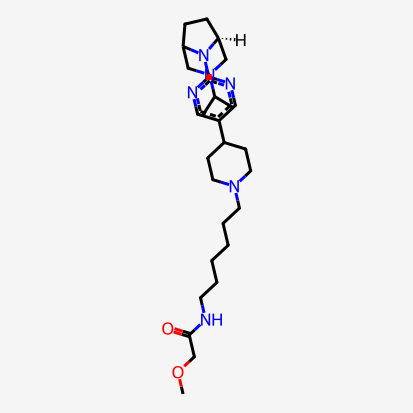 COCC(=O)NCCCCCCN1CCC(c2cnc(N3C4CC[C@H]3CN(C(C)C)C4)nc2)CC1